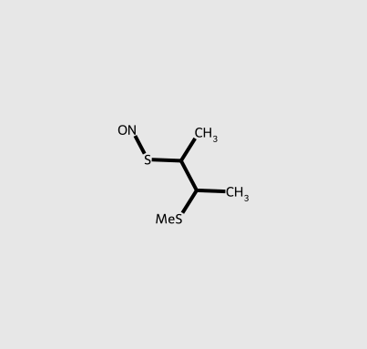 CSC(C)C(C)SN=O